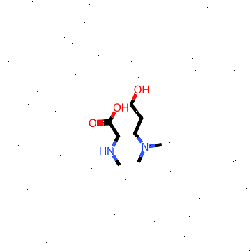 CN(C)CCCO.CNCC(=O)O